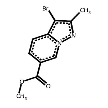 COC(=O)c1ccc2c(Br)c(C)nn2c1